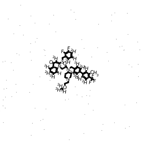 [2H]c1c([2H])c(F)c(F)c(CSc2c([2H])c(=O)c3c([2H])c([2H])c([2H])c([2H])c3n2CC(=O)N(Cc2c([2H])c([2H])c(-c3c([2H])c([2H])c(C(F)(F)F)c(C)c3[2H])c([2H])c2[2H])C2CCN(CCOC([2H])([2H])[2H])CC2)c1[2H]